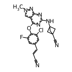 Cn1cc2c(Oc3c(F)cc(/C=C/C#N)cc3Cl)nc(NC34CC(C#N)(C3)C4)nc2n1